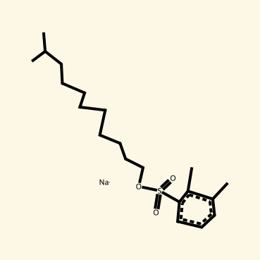 Cc1cccc(S(=O)(=O)OCCCCCCCCCC(C)C)c1C.[Na]